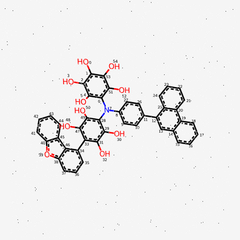 Oc1c(O)c(O)c(N(c2ccc(-c3cc4ccccc4c4ccccc34)cc2)c2c(O)c(O)c(-c3cccc4oc5ccccc5c34)c(O)c2O)c(O)c1O